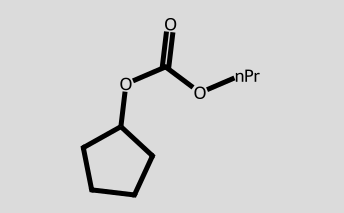 C[CH]COC(=O)OC1CCCC1